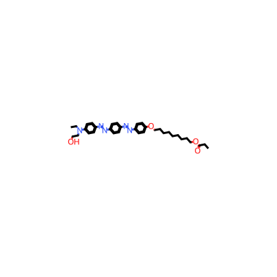 CCC(=O)OCCCCCCCCCOc1ccc(N=Nc2ccc(N=Nc3ccc(N(CC)CCO)cc3)cc2)cc1